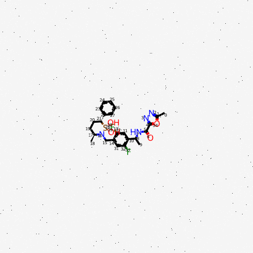 Cc1nnc(C(=O)NC(C)c2cc(F)c(CN3[C@@H](C)CC[C@H](c4ccccc4)S3(O)O)cc2F)o1